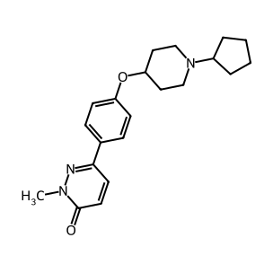 Cn1nc(-c2ccc(OC3CCN(C4CCCC4)CC3)cc2)ccc1=O